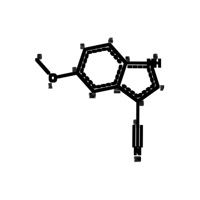 COc1ccc2[nH]cc(C#N)c2c1